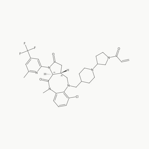 C=CC(=O)N1CCC(N2CCC(CN3C[C@H]4CC(=O)N(c5cc(C(F)(F)F)cc(C)n5)[C@@H]4C(=O)N(C)c4cccc(Cl)c43)CC2)C1